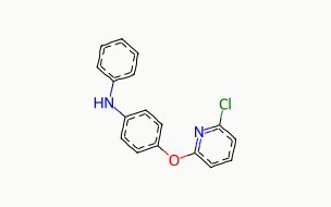 Clc1cccc(Oc2ccc(Nc3ccccc3)cc2)n1